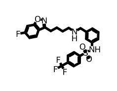 O=S(=O)(Nc1cccc(CNCCCCc2noc3cc(F)ccc23)c1)c1ccc(C(F)(F)F)cc1